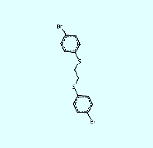 Brc1ccc(SCCSc2ccc(Br)cc2)cc1